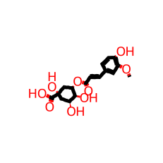 COc1cc(/C=C/C(=O)O[C@@H]2C[C@@](O)(C(=O)O)C[C@@H](O)[C@@H]2O)ccc1O